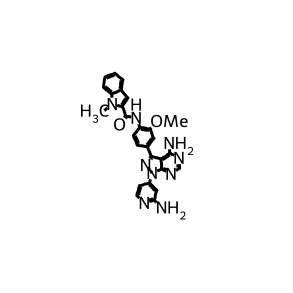 COc1cc(-c2nn(-c3ccnc(N)c3)c3ncnc(N)c23)ccc1NC(=O)c1cc2ccccc2n1C